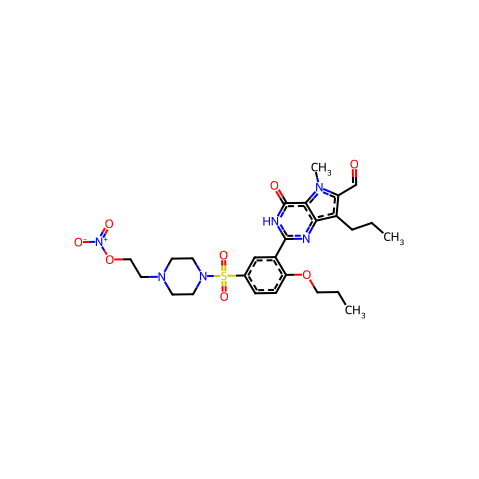 CCCOc1ccc(S(=O)(=O)N2CCN(CCO[N+](=O)[O-])CC2)cc1-c1nc2c(CCC)c(C=O)n(C)c2c(=O)[nH]1